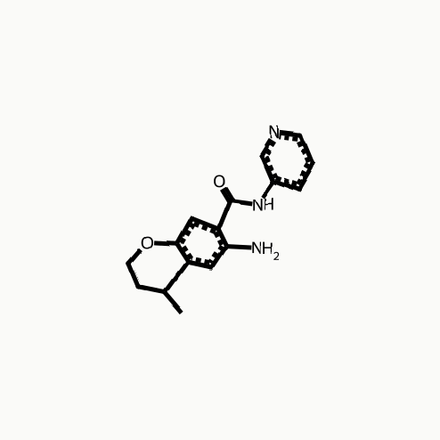 CC1CCOc2cc(C(=O)Nc3cccnc3)c(N)cc21